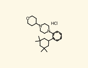 CC1(C)CC(c2ccccc2N2CCN(C3CCOCC3)CC2)CC(C)(C)C1.Cl